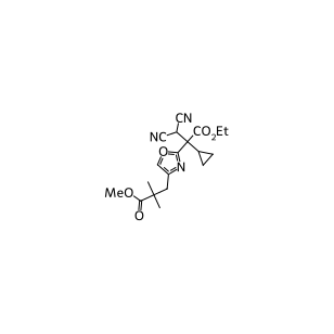 CCOC(=O)C(c1nc(CC(C)(C)C(=O)OC)co1)(C(C#N)C#N)C1CC1